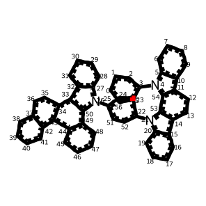 c1ccc(-n2c3ccccc3c3ccc4c5ccccc5n(-c5ccc(-n6c7ccccc7c7c8ccc9ccccc9c8c8ccccc8c76)cc5)c4c32)cc1